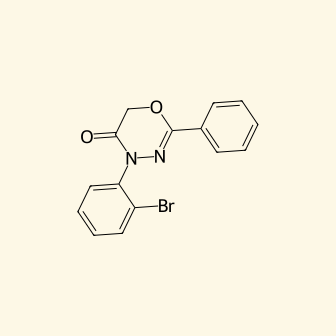 O=C1COC(c2ccccc2)=NN1c1ccccc1Br